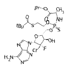 CC(C)OC(=O)[C@H](C)N[P@@](=S)(OCCSC(=O)C(C)(C)C)OC[C@H]1O[C@@H](n2cnc3c(N)ncnc32)[C@](F)(Cl)[C@@H]1O